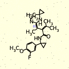 C=N/C(NC1(C)CC1)=C(\C)C(C(=O)NC1(c2ccc(OC)c(F)c2)CC1)=C(C)C